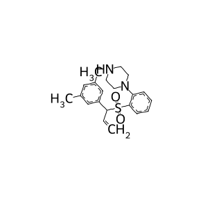 C=CC(c1cc(C)cc(C)c1)S(=O)(=O)c1ccccc1N1CCNCC1